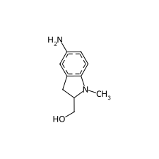 CN1c2ccc(N)cc2CC1CO